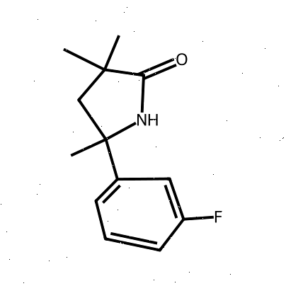 CC1(C)CC(C)(c2cccc(F)c2)NC1=O